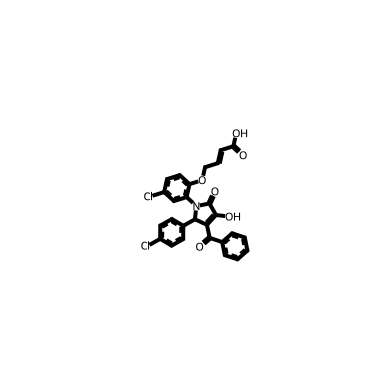 O=C(O)C=CCOc1ccc(Cl)cc1N1C(=O)C(O)=C(C(=O)c2ccccc2)C1c1ccc(Cl)cc1